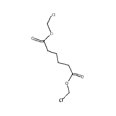 O=C(CCCCC(=O)OCCl)OCCl